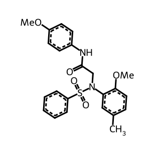 COc1ccc(NC(=O)CN(c2cc(C)ccc2OC)S(=O)(=O)c2ccccc2)cc1